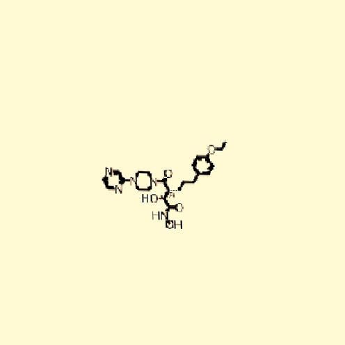 CCOc1ccc(CCC[C@@H](C(=O)N2CCN(c3cnccn3)CC2)[C@H](O)C(=O)NO)cc1